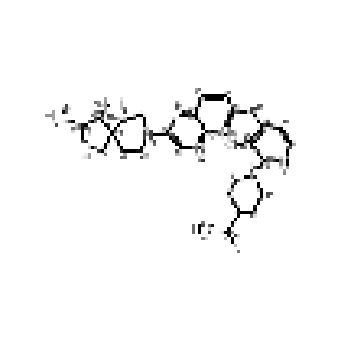 CC(=O)C1CCN(c2nccc(Sc3ccc4nc(N5CCC6(CC5)CO[C@@H](C)[C@H]6N)cnc4n3)c2Cl)CC1